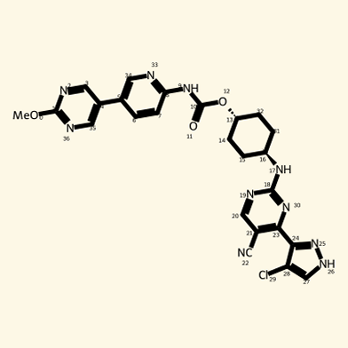 COc1ncc(-c2ccc(NC(=O)O[C@H]3CC[C@H](Nc4ncc(C#N)c(-c5n[nH]cc5Cl)n4)CC3)nc2)cn1